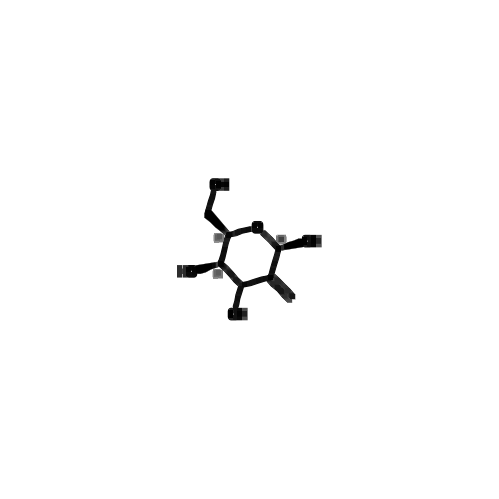 C=C1C(O)[C@@H](O)[C@@H](CO)O[C@H]1O